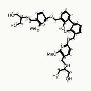 COc1nc(OCc2cccc(-c3cccc(COc4ccc(CNC(CO)CO)c(OC)n4)c3Cl)c2Cl)ccc1CNC(CO)CO